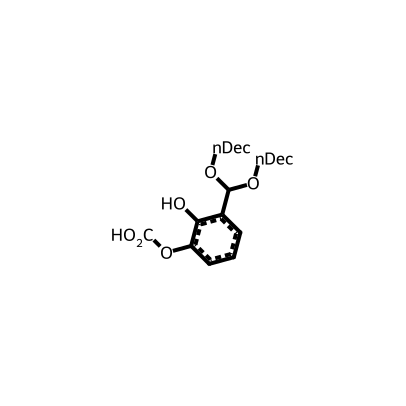 CCCCCCCCCCOC(OCCCCCCCCCC)c1cccc(OC(=O)O)c1O